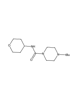 CC(C)(C)N1CCN(C(=O)NC2CCOCC2)CC1